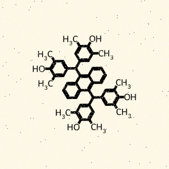 Cc1cc(C(c2cc(C)c(O)c(C)c2)c2c3ccccc3c(C(c3cc(C)c(O)c(C)c3)c3cc(C)c(O)c(C)c3)c3ccccc23)cc(C)c1O